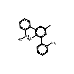 Bc1ccccc1-c1cc(C)cc(-c2ccccc2BO)c1N